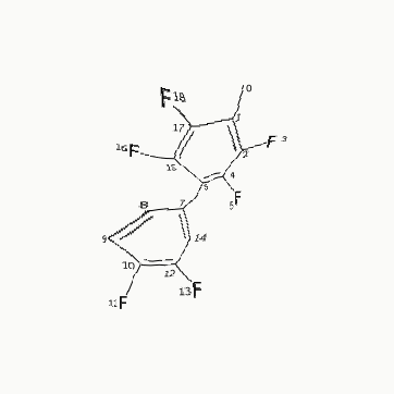 Cc1c(F)c(F)c(-c2ccc(F)c(F)c2)c(F)c1F